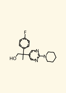 CC(CO)(c1ccc(F)cc1)c1cnc(N2CCCCC2)nc1